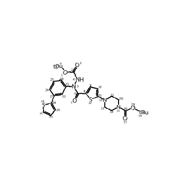 CC(C)(C)OC(=O)NN(C(=O)c1ccc(N2CCN(C(=O)OC(C)(C)C)CC2)s1)c1cccc(-c2cccs2)c1